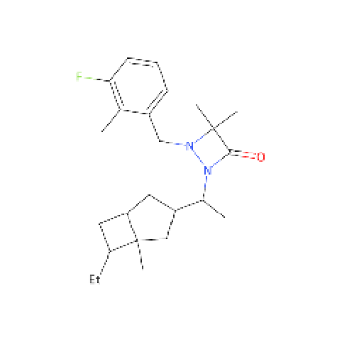 CCC1CC2CC(C(C)N3C(=O)C(C)(C)N3Cc3cccc(F)c3C)CC12C